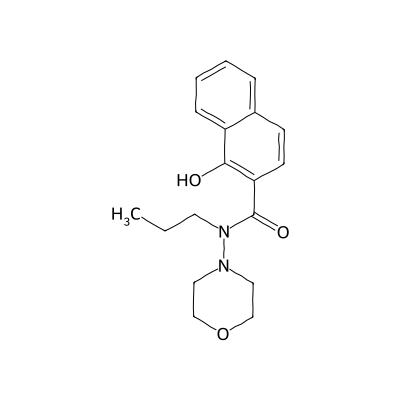 CCCN(C(=O)c1ccc2ccccc2c1O)N1CCOCC1